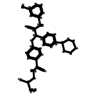 O=C(NCC(F)C(=O)O)c1ccc(CN(C(=O)Nc2cccc(Cl)c2)c2ccc(C3CCCCC3)cc2)cc1